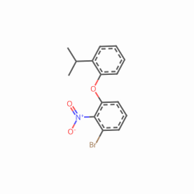 CC(C)c1ccccc1Oc1cccc(Br)c1[N+](=O)[O-]